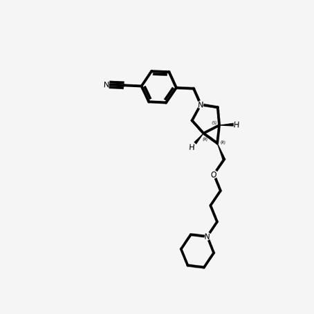 N#Cc1ccc(CN2C[C@@H]3[C@@H](COCCCN4CCCCC4)[C@@H]3C2)cc1